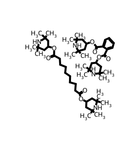 CC1(C)CC(OC(=O)CCCCCCCCC(=O)OC2CC(C)(C)NC(C)(C)C2)CC(C)(C)N1.CC1(C)CC(OC(=O)c2ccccc2C(=O)OC2CC(C)(C)NC(C)(C)C2)CC(C)(C)N1